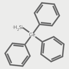 [SiH2][Ge]([c]1ccccc1)([c]1ccccc1)[c]1ccccc1